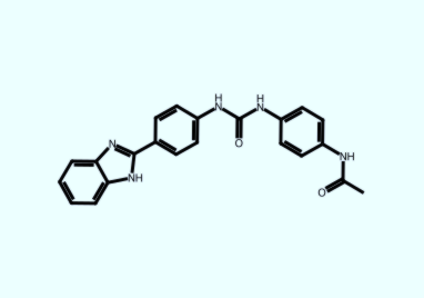 CC(=O)Nc1ccc(NC(=O)Nc2ccc(-c3nc4ccccc4[nH]3)cc2)cc1